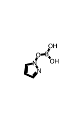 OB(O)On1cccn1